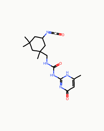 Cc1cc(=O)nc(NC(=O)NCC2(C)CC(N=C=O)CC(C)(C)C2)[nH]1